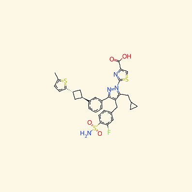 Cc1ccc([C@H]2C[C@H](c3cccc(-c4nn(-c5nc(C(=O)O)cs5)c(CC5CC5)c4Cc4ccc(S(N)(=O)=O)c(F)c4)c3)C2)s1